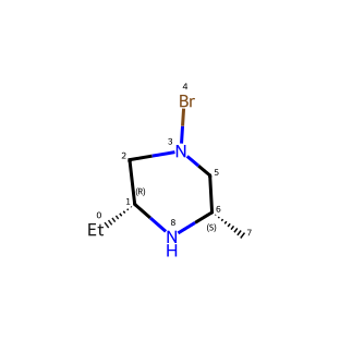 CC[C@@H]1CN(Br)C[C@H](C)N1